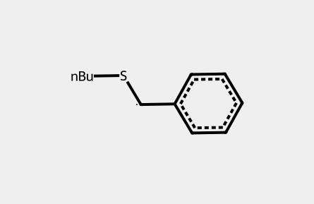 CCCCS[CH]c1ccccc1